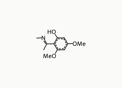 C/N=C(\C)c1c(O)cc(OC)cc1OC